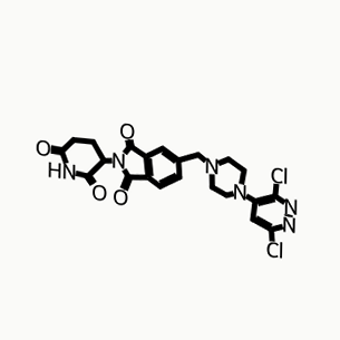 O=C1CCC(N2C(=O)c3ccc(CN4CCN(c5cc(Cl)nnc5Cl)CC4)cc3C2=O)C(=O)N1